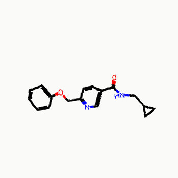 O=C(NCC1CC1)c1ccc(COc2ccccc2)nc1